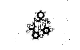 CN(CCC(C(=O)O)c1ccccc1Nc1c(Cl)cccc1Cl)CC1(SN=O)CCCCC1.Cl